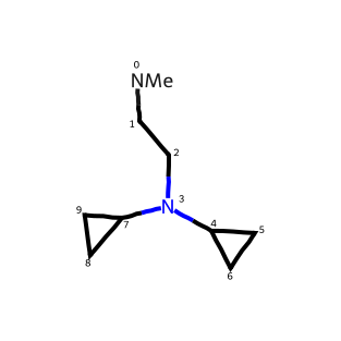 CNCCN(C1CC1)C1CC1